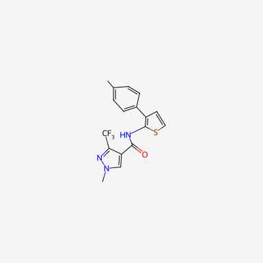 Cc1ccc(-c2ccsc2NC(=O)c2cn(C)nc2C(F)(F)F)cc1